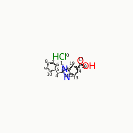 Cl.Cn1c(Cc2ccccc2)nc2ccc(C(=O)O)cc21